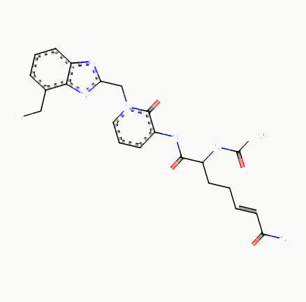 COC(=O)NC(CCC=CC(N)=O)C(=O)Nc1cccn(Cc2nc3cccc(CC(C)(C)C)c3[nH]2)c1=O